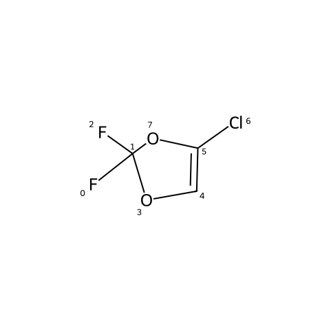 FC1(F)OC=C(Cl)O1